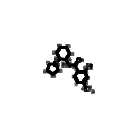 CCc1cc(C(F)(F)F)ccc1C(=O)NC1CCCCC1N1CCCC1